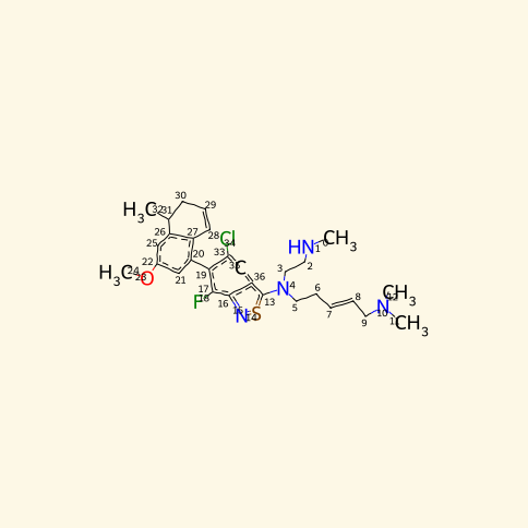 CNCCN(CC/C=C/CN(C)C)c1snc2c(F)c(-c3cc(OC)cc4c3C=CCC4C)c(Cl)cc12